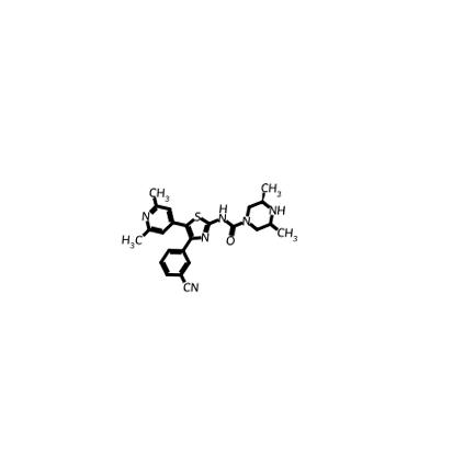 Cc1cc(-c2sc(NC(=O)N3CC(C)N[C@H](C)C3)nc2-c2cccc(C#N)c2)cc(C)n1